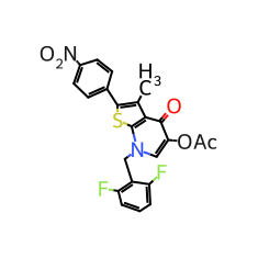 CC(=O)Oc1cn(Cc2c(F)cccc2F)c2sc(-c3ccc([N+](=O)[O-])cc3)c(C)c2c1=O